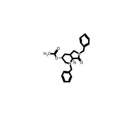 CC(=O)O[C@@H]1CC2CN(Cc3ccccc3)C(=O)[C@H]2N(Cc2ccccc2)C1